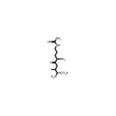 CC(CC(=O)C(N)CCCNC(=N)N)[C@H](N)C(=O)O